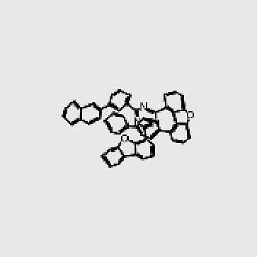 c1ccc(-c2ccc(-c3cccc4oc5cccc(-c6nc(-c7cccc(-c8ccc9ccccc9c8)c7)nc(-c7cccc8c7oc7ccccc78)n6)c5c34)cc2)cc1